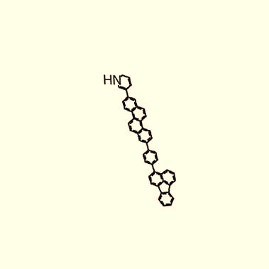 C1=CC(c2ccc3c(ccc4c5ccc(-c6ccc(-c7ccc8c9c(cccc79)-c7ccccc7-8)cc6)cc5ccc34)c2)=CNC1